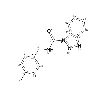 Cc1ccc(CNC(=O)n2nnc3ccccc32)cc1